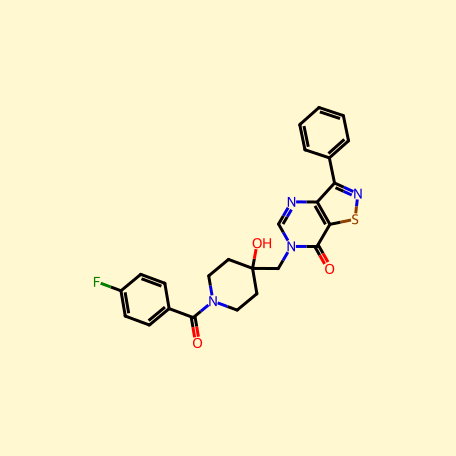 O=C(c1ccc(F)cc1)N1CCC(O)(Cn2cnc3c(-c4ccccc4)nsc3c2=O)CC1